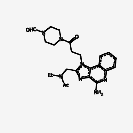 CCN(Cc1nc2c(N)nc3ccccc3c2n1CCC(=O)N1CCN(C=O)CC1)C(C)=O